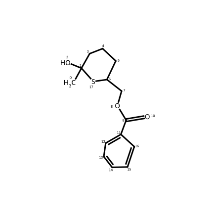 CC1(O)CCCC(COC(=O)c2ccccc2)S1